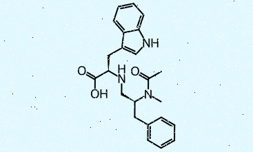 CC(=O)N(C)[C@H](CN[C@H](Cc1c[nH]c2ccccc12)C(=O)O)Cc1ccccc1